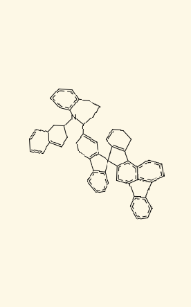 C1=CC2=CCC(N3c4ccccc4CCCC3C3=CC4=C(CC3)c3ccccc3C43C4=C(CCC=C4)c4c3cc3c5c(cccc45)-c4ccccc4-3)CC2C=C1